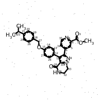 COC(=O)c1cc(-c2nn3c(c2-c2ccc(OCc4ccc(C(C)C)cc4)cc2)C(=O)NCC3)ccn1